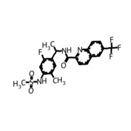 Cc1cc(C(C)NC(=O)c2ccc3cc(C(F)(F)F)ccc3n2)c(F)cc1NS(C)(=O)=O